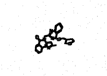 Cc1cc2n(Cc3nc(OCC4CCOC4)c4ccccc4n3)c(=O)c3ccccc3n2n1